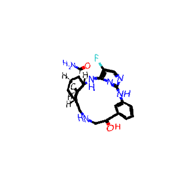 NC(=O)[C@H]1[C@@H]2C[C@H]3CNCC(O)c4cccc(c4)Nc4ncc(F)c(n4)N[C@@H]1[C@@H]3C2